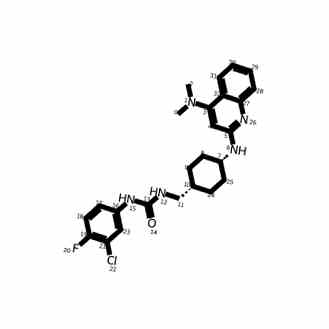 CN(C)c1cc(N[C@H]2CC[C@@H](CNC(=O)Nc3ccc(F)c(Cl)c3)CC2)nc2ccccc12